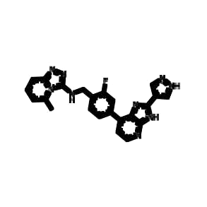 Cc1cccc2nnc(NCc3ccc(-c4ccnc5[nH]c(-c6cn[nH]c6)nc45)cc3F)n12